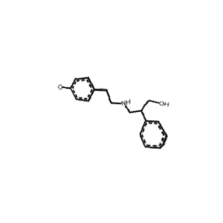 [O]c1ccc(CCNCC(CO)c2ccccc2)cc1